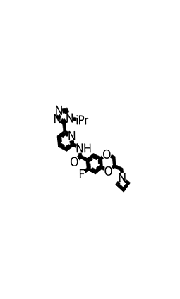 CC(C)n1cnnc1-c1cccc(NC(=O)c2cc3c(cc2F)OC(CN2CCC2)CO3)n1